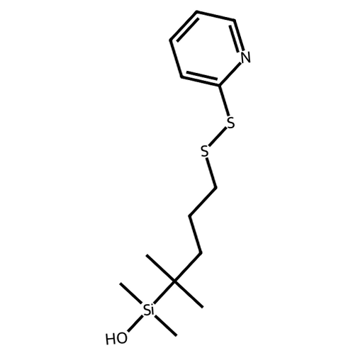 CC(C)(CCCSSc1ccccn1)[Si](C)(C)O